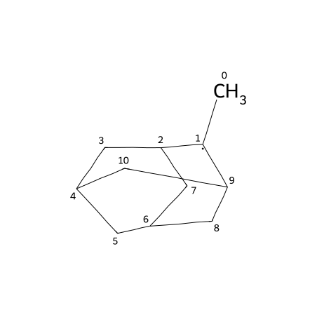 C[C]1C2CC3CC(C2)CC1C3